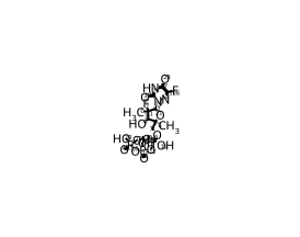 CC1(F)C(O)[C@](C)(COP(=O)(O)OP(=O)(O)OP(=O)(O)O)O[C@H]1n1nc(F)c(=O)[nH]c1=O